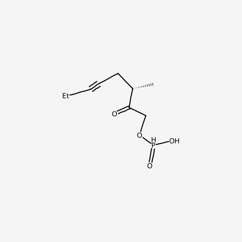 CCC#CC[C@H](C)C(=O)CO[PH](=O)O